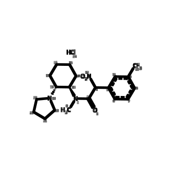 CN(C(=O)C(c1cccc(C(F)(F)F)c1)[N+](=O)[O-])[C@@H]1CCCC[C@H]1N1CCCC1.Cl